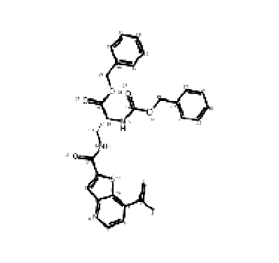 C=C(C)c1ccnc2cc(C(=O)NC[C@@H](NC(=O)OCc3ccccc3)C(=O)OCc3ccccc3)sc12